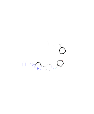 CC(C)c1ccc(Oc2ccc(C(=O)N3CCC(c4ccc(N)nn4)CC3)cc2)cc1